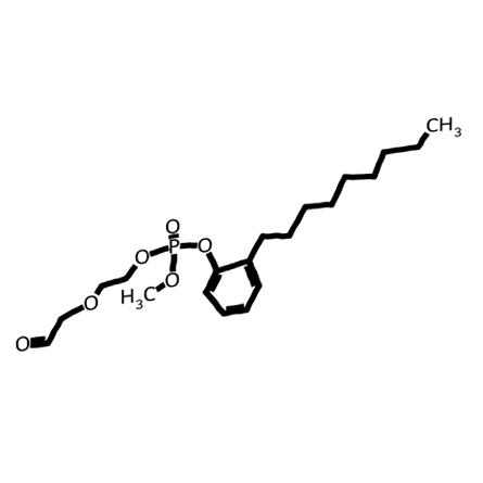 CCCCCCCCCc1ccccc1OP(=O)(OC)OCCOCC=O